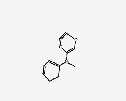 CN(C1=CC=CCC1)C1=COC=CO1